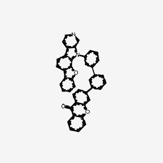 O=c1c2ccccc2oc2cc(-c3cccc(-c4cccc(-n5c6cnccc6c6ccc7c8ccccc8oc7c65)c4)c3)ccc12